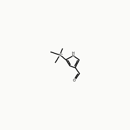 C[N+](C)(C)c1cc(C=O)c[nH]1